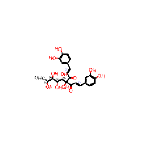 O=C[C@H](O)[C@@H](O)[C@H](O)[C@H](O)C(O)(C(=O)/C=C/c1ccc(O)c(O)c1)C(=O)/C=C/c1ccc(O)c(O)c1